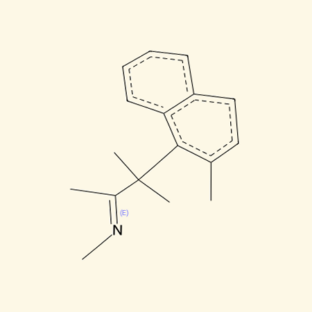 C/N=C(\C)C(C)(C)c1c(C)ccc2ccccc12